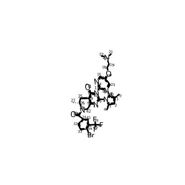 Cc1cc(C)n(-c2nc3c(c(=O)n2-c2ncc(OCCN(C)C)cn2)C[C@@H](C)N(C(=O)c2ccc(Br)c(C(F)(F)F)c2)C3)n1